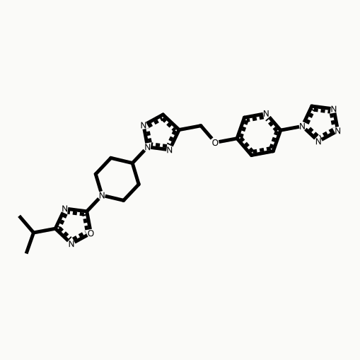 CC(C)c1noc(N2CCC(n3ncc(COc4ccc(-n5cnnn5)nc4)n3)CC2)n1